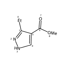 CCc1n[nH]cc1C(=O)OC